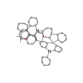 CC1(C)c2ccccc2-c2c(N(c3ccc4c(c3)C3(c5ccccc5-4)c4ccccc4N(c4ccccc4)c4ccccc43)c3ccccc3-c3ccccc3C3=CCCC=C3)cccc21